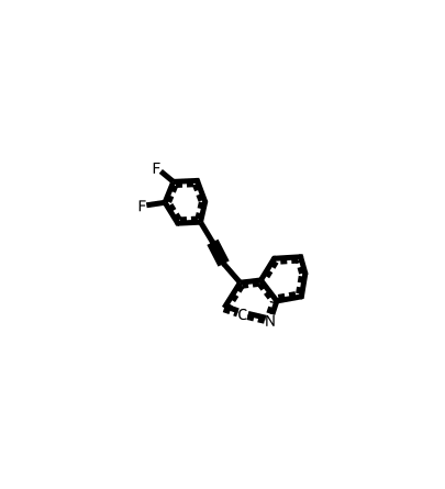 Fc1ccc(C#Cc2ccnc3ccccc23)cc1F